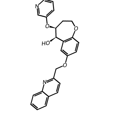 O[C@@H]1c2cc(OCc3ccc4ccccc4n3)ccc2OCC[C@@H]1Oc1cccnc1